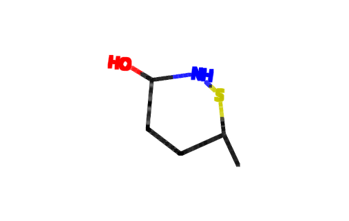 CC1CCC(O)NS1